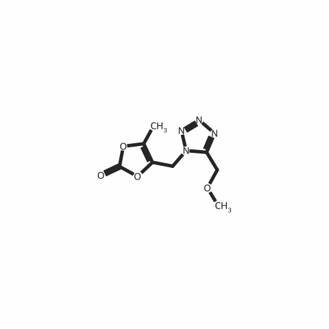 COCc1nnnn1Cc1oc(=O)oc1C